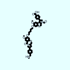 CNCc1ccc(C2=CN3C(=O)c4cc(OC)c(OCCCCCOc5cc(/N=C\C6CC(c7ccc(C(=O)O)cc7)=CN6C=O)c(C)cc5OC)cc4N=CC3C2)cc1